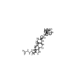 CC(C)CCC[C@@H](C)[C@H]1CCC2C3CC=C4C[C@@H](OCCOP5(=O)NCCO5)CC[C@]4(C)C3CC[C@@]21C